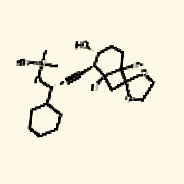 CC(C)[C@]12CC[C@@H](O)[C@H](C#C[C@@H](O[Si](C)(C)C(C)(C)C)C3CCCCC3)[C@H]1CC21OCCO1